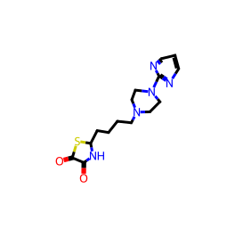 O=C1NC(CCCCN2CCN(c3ncccn3)CC2)SC1=O